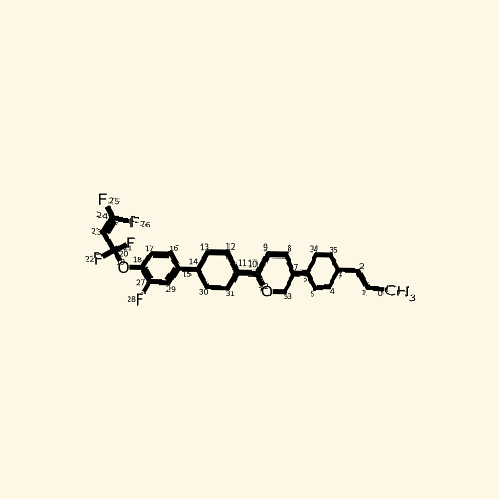 CCCC1CCC(C2CCC(C3CCC(c4ccc(OC(F)(F)C=C(F)F)c(F)c4)CC3)OC2)CC1